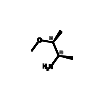 CO[C@@H](C)[C@@H](C)N